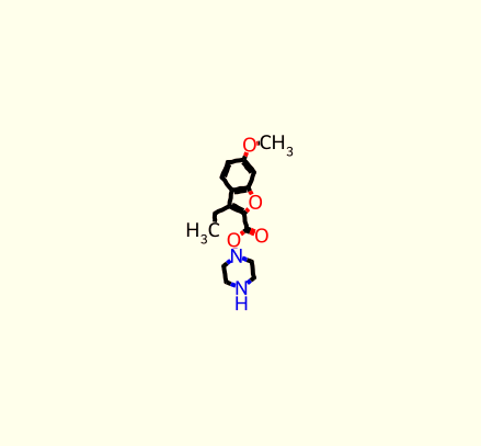 CCc1c(C(=O)ON2CCNCC2)oc2cc(OC)ccc12